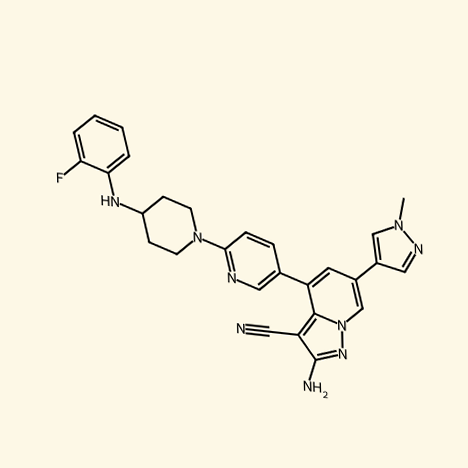 Cn1cc(-c2cc(-c3ccc(N4CCC(Nc5ccccc5F)CC4)nc3)c3c(C#N)c(N)nn3c2)cn1